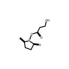 C=C1CCC(=O)N1OC(=O)CCO